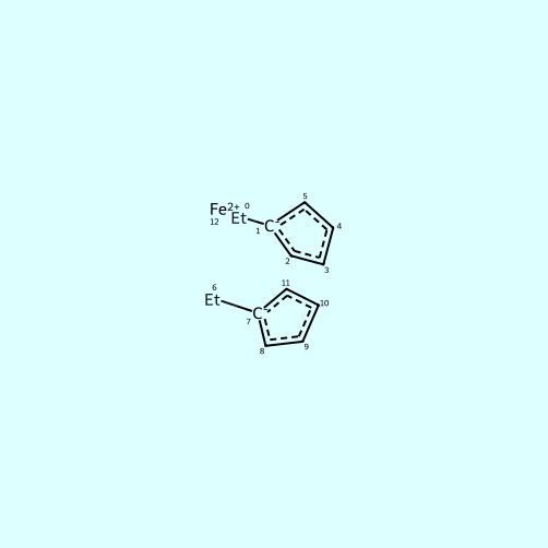 CC[c-]1cccc1.CC[c-]1cccc1.[Fe+2]